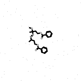 COC(C)(CCOC(=O)c1ccccc1)/N=N/C(C)CCOC(=O)c1ccccc1